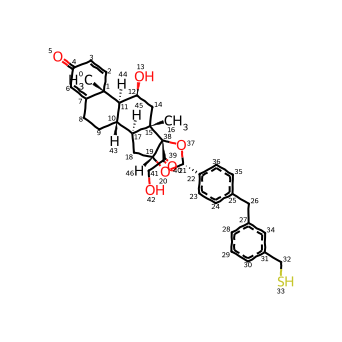 C[C@]12C=CC(=O)C=C1CC[C@@H]1[C@@H]2[C@@H](O)C[C@@]2(C)[C@H]1C[C@H]1O[C@@H](c3ccc(Cc4cccc(CS)c4)cc3)O[C@]12C(=O)CO